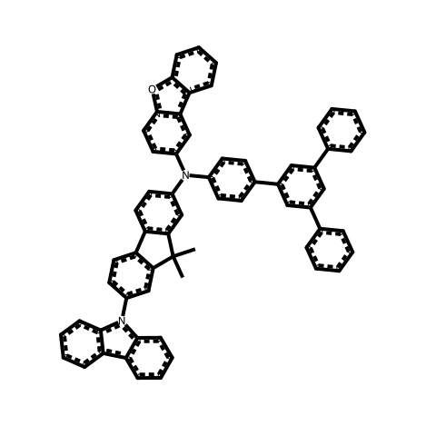 CC1(C)c2cc(N(c3ccc(-c4cc(-c5ccccc5)cc(-c5ccccc5)c4)cc3)c3ccc4oc5ccccc5c4c3)ccc2-c2ccc(-n3c4ccccc4c4ccccc43)cc21